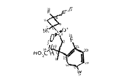 CC(CS(=O)(=O)C1(C#N)CC(F)(F)C1)(NC(=O)O)c1cc(Br)ccc1F